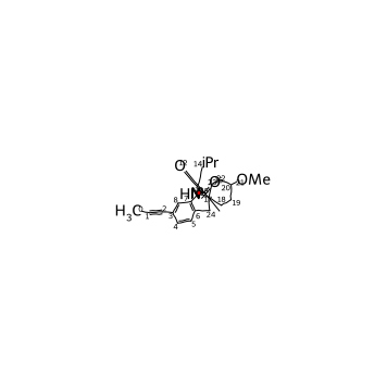 CC#Cc1ccc2c(c1)C1(NC(=O)N(C(C)C)C1=O)C1(CCC(OC)CC1)C2